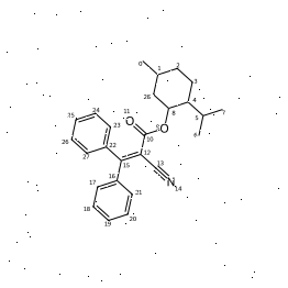 CC1CCC(C(C)C)C(OC(=O)C(C#N)=C(c2ccccc2)c2ccccc2)C1